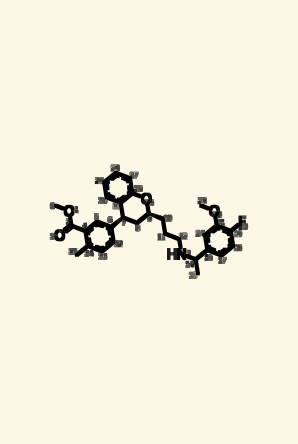 COC(=O)c1cc([C@@H]2C[C@H](CCCNC(C)c3ccc(F)c(OC)c3)Oc3ccccc32)ccc1C